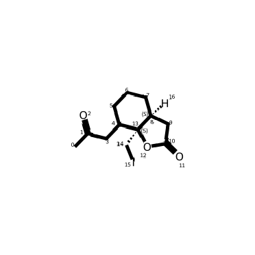 CC(=O)CC1CCC[C@H]2CC(=O)O[C@@]12CI